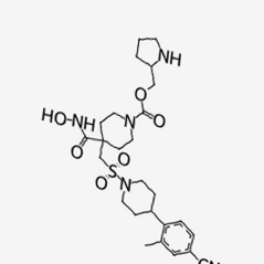 Cc1cc(C#N)ccc1C1CCN(S(=O)(=O)CC2(C(=O)NO)CCN(C(=O)OCC3CCCN3)CC2)CC1